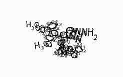 COc1ccc(C(OC[C@H]2O[C@@H](n3cnc(N)nc3=O)C[C@@H]2O[P@@]2O[C@H](CS(=O)(=O)c3ccccc3)[C@@H]3CCCN32)(c2ccccc2)c2ccc(OC)cc2)cc1